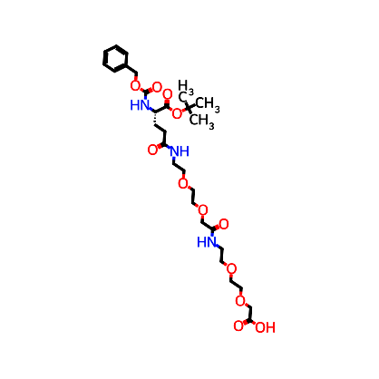 CC(C)(C)OC(=O)[C@H](CCC(=O)NCCOCCOCC(=O)NCCOCCOCC(=O)O)NC(=O)OCc1ccccc1